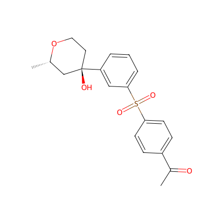 CC(=O)c1ccc(S(=O)(=O)c2cccc([C@@]3(O)CCO[C@@H](C)C3)c2)cc1